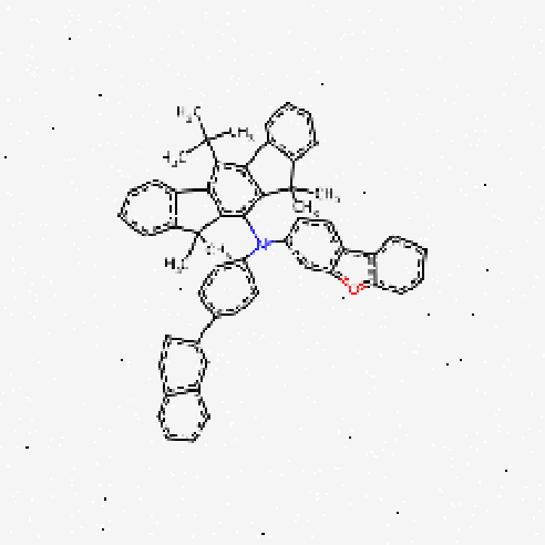 CC(C)(C)c1c2c(c(N(c3ccc(-c4ccc5ccccc5c4)cc3)c3ccc4c(c3)oc3ccccc34)c3c1-c1ccccc1C3(C)C)C(C)(C)c1ccccc1-2